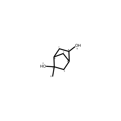 CC1(O)CC2CC1CC2O